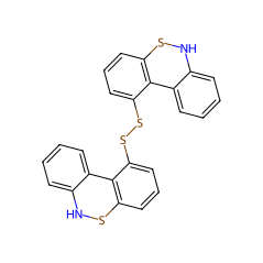 c1ccc2c(c1)NSc1cccc(SSc3cccc4c3-c3ccccc3NS4)c1-2